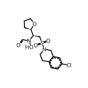 O=CN(O)[C@H](CS(=O)(=O)N1CCc2ccc(Cl)cc2C1)[C@H]1CCCO1